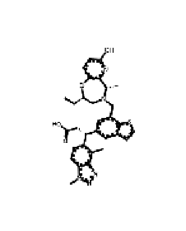 CC[C@@H]1CN(Cc2cc([C@@H](CC(=O)O)c3ccc4c(nnn4C)c3C)cc3ccsc23)[C@@H](C)c2nc(O)ccc2O1